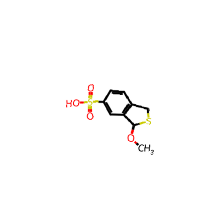 COC1SCc2ccc(S(=O)(=O)O)cc21